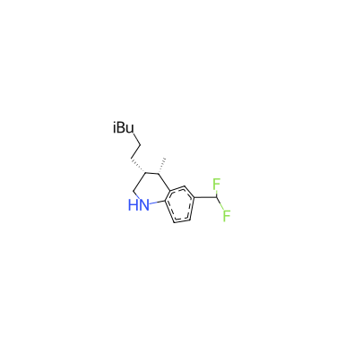 CCC(C)CC[C@H]1CNc2ccc(C(F)F)cc2[C@H]1C